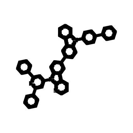 c1ccc(-c2ccc(-n3c4ccccc4c4cc(-c5ccc6c(c5)c5cccnc5n6-c5cc(-c6ccccc6)nc(-c6ccccc6)c5)ccc43)cc2)cc1